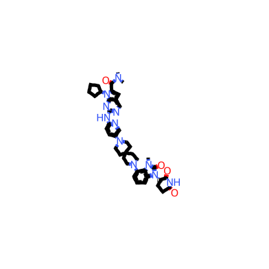 CN(C)C(=O)c1cc2cnc(Nc3ccc(N4CCC5(CC4)CCN(c4cccc6c4n(C)c(=O)n6[C@H]4CCC(=O)NC4=O)CC5)cn3)nc2n1C1CCCC1